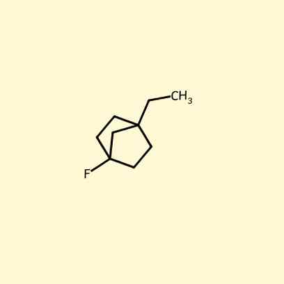 CCC12CCC(F)(CC1)C2